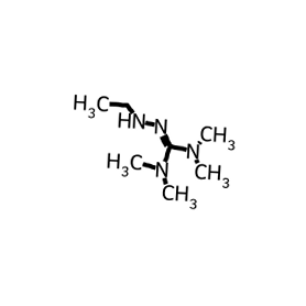 CCNN=C(N(C)C)N(C)C